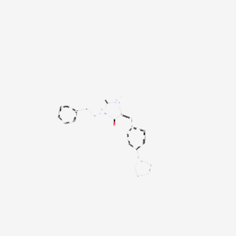 CN1C(=[Se])N(CCc2ccccc2)C(=O)C1=Cc1ccc(N2CCCC2)cc1.Cl